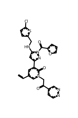 C=Cc1cc(-c2cc(NCc3ccc(Cl)s3)n(C(=O)c3ccco3)n2)c(=O)n(CC(=O)c2ccnnc2)c1